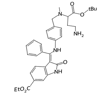 CCOC(=O)c1ccc2c(c1)NC(=O)/C2=C(\Nc1ccc(CN(C)C(CCN)C(=O)OC(C)(C)C)cc1)c1ccccc1